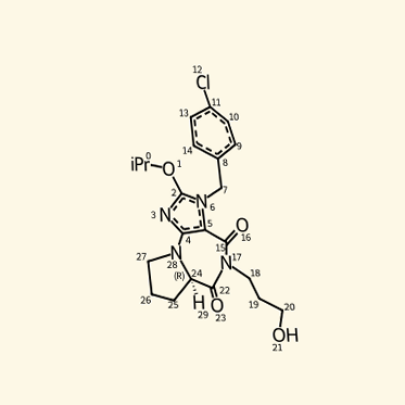 CC(C)Oc1nc2c(n1Cc1ccc(Cl)cc1)C(=O)N(CCCO)C(=O)[C@H]1CCCN21